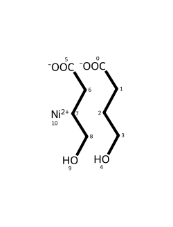 O=C([O-])CCCO.O=C([O-])CCCO.[Ni+2]